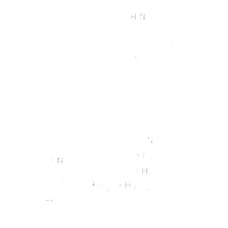 C.C.C.C.C.N#CCCOC(N)=S.NC(O)=S